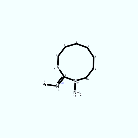 CC(C)/N=C1\SCCCCCCCN1N